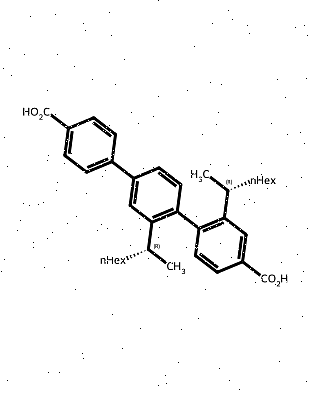 CCCCCC[C@@H](C)c1cc(C(=O)O)ccc1-c1ccc(-c2ccc(C(=O)O)cc2)cc1[C@H](C)CCCCCC